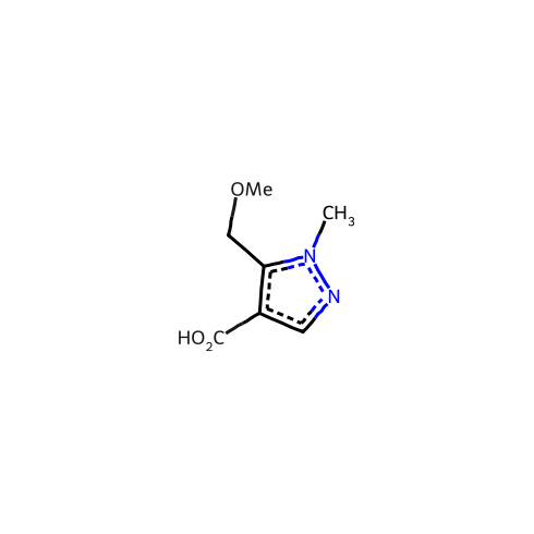 COCc1c(C(=O)O)cnn1C